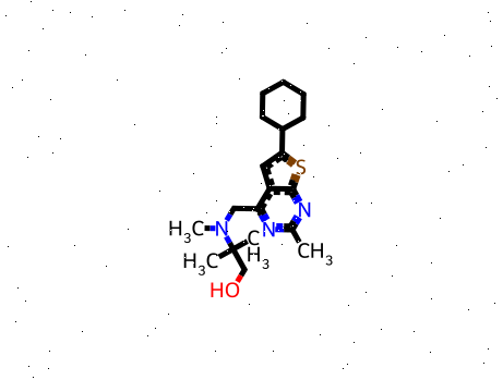 Cc1nc(CN(C)C(C)(C)CO)c2cc(C3CCCCC3)sc2n1